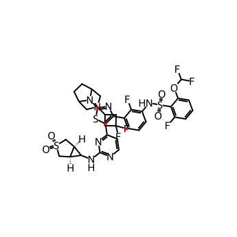 O=S1(=O)C[C@@H]2C(Nc3nccc(-c4sc(N5C6CCC5CN(C5CC(F)(F)C5)C6)nc4-c4cccc(NS(=O)(=O)c5c(F)cccc5OC(F)F)c4F)n3)[C@@H]2C1